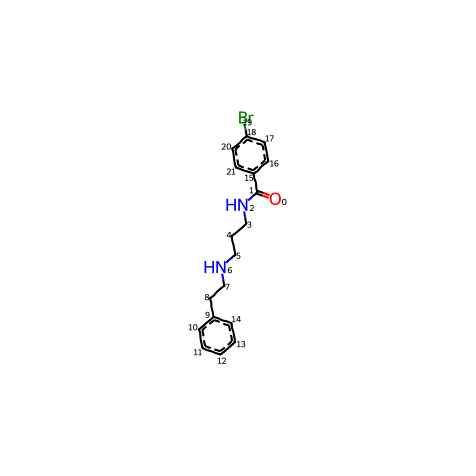 O=C(NCCCNCCc1ccccc1)c1ccc(Br)cc1